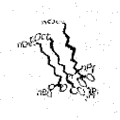 CCCCCCCCC=CCCCCCCC(CCC)(C(=O)OC(C)C)C(C)C.CCCCCCCCC=CCCCCCCCC(=O)O.CCCCCCCCCCCCCCCCCC(=O)OCCCC